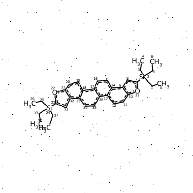 CC[Si](CC)(CC)c1cc2c(ccc3c2ccc2c4ccc5oc([Si](CC)(CC)CC)cc5c4ccc32)o1